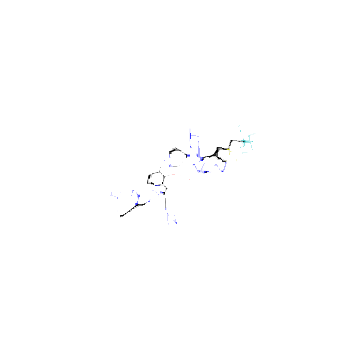 C=C(N)Cn1c(C#N)cc2c(CO)c(CN3CCC(Nc4ncnc5sc(CC(F)(F)F)cc45)CC3)ccc21